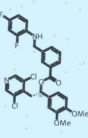 COc1ccc([C@H](Cc2c(Cl)cncc2Cl)OC(=O)c2cccc(CNc3ccc(F)cc3F)c2)cc1OC